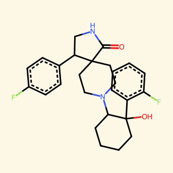 O=C1NCC(c2ccc(F)cc2)C12CCN(C1CCCCC1(O)c1ccccc1F)CC2